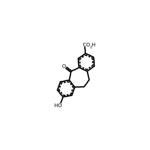 O=C(O)c1ccc2c(c1)C(=O)c1ccc(O)cc1CC2